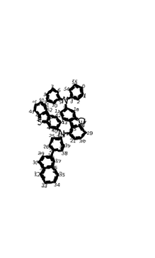 c1ccc(N(c2ccccc2)c2ccc3c(c2)oc2cccc(N(c4ccc(-c5ccc6ccccc6c5)cc4)c4ccc5c(c4)sc4ccccc45)c23)cc1